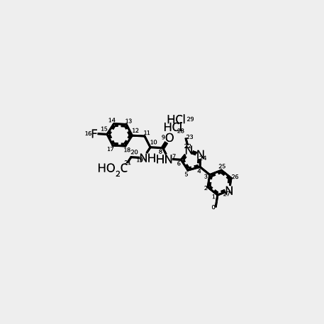 Cc1cc(-c2cc(NC(=O)C(Cc3ccc(F)cc3)NCC(=O)O)n(C)n2)ccn1.Cl.Cl